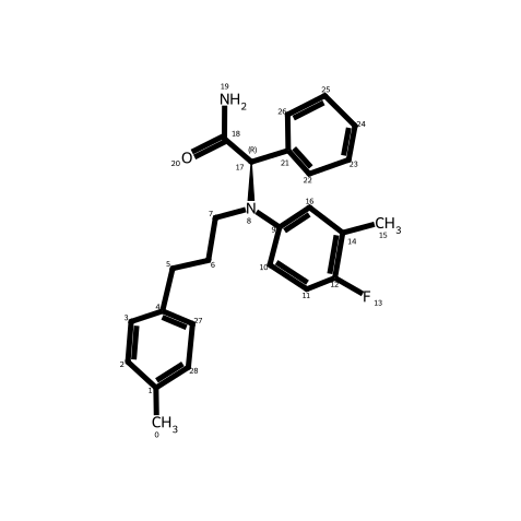 Cc1ccc(CCCN(c2ccc(F)c(C)c2)[C@@H](C(N)=O)c2ccccc2)cc1